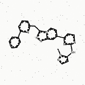 Cn1nccc1Nc1nccc(-c2ccn3c(Cc4cccc(-c5ccccc5)n4)nnc3c2)n1